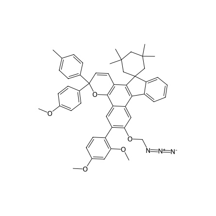 COc1ccc(C2(c3ccc(C)cc3)C=Cc3c4c(c5cc(OCN=[N+]=[N-])c(-c6ccc(OC)cc6OC)cc5c3O2)-c2ccccc2C42CC(C)(C)CC(C)(C)C2)cc1